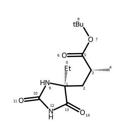 CC[C@@]1(C[C@@H](C)C(=O)OC(C)(C)C)NC(=O)NC1=O